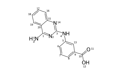 Nc1nc(Nc2cccc(C(=O)O)c2)nc2ccccc12